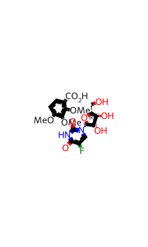 COc1ccc(C(=O)O)c(OC)c1OC.O=c1[nH]c(=O)n([C@@H]2O[C@H](CO)[C@@H](O)[C@H]2O)cc1F